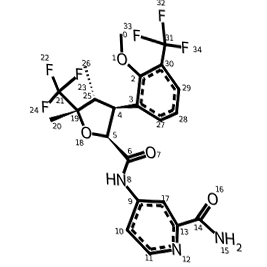 COc1c([C@H]2[C@@H](C(=O)Nc3ccnc(C(N)=O)c3)O[C@](C)(C(F)(F)F)[C@@H]2C)cccc1C(F)(F)F